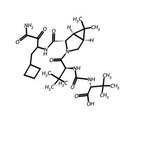 CC(C)(C)[C@H](NC(=O)N[C@@H](C(=O)O)C(C)(C)C)C(=O)N1C[C@H]2[C@@H]([C@H]1C(=O)NC(CC1CCC1)C(=O)C(N)=O)C2(C)C